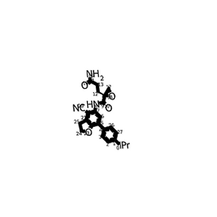 CC(C)c1ccc(-c2cc(NC(=O)[C@]3(CCC(N)=O)CO3)c(C#N)c3c2OCC3)cc1